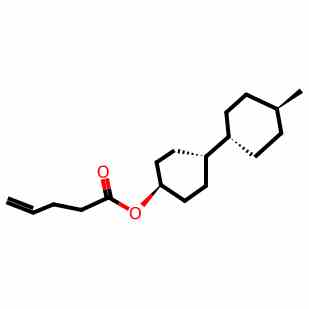 C=CCCC(=O)O[C@H]1CC[C@H]([C@H]2CC[C@H](C)CC2)CC1